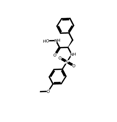 COc1ccc(S(=O)(=O)N[C@H](Cc2ccccc2)C(=O)NO)cc1